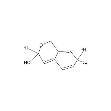 [2H]C1([2H])C=CC2=CC([2H])(O)OCC2=C1